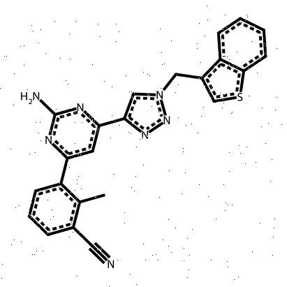 Cc1c(C#N)cccc1-c1cc(-c2cn(Cc3csc4ccccc34)nn2)nc(N)n1